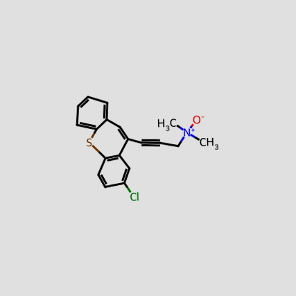 C[N+](C)([O-])CC#CC1=Cc2ccccc2Sc2ccc(Cl)cc21